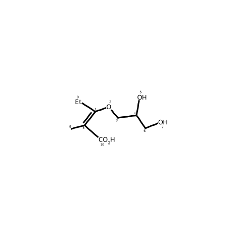 CCC(OCC(O)CO)=C(C)C(=O)O